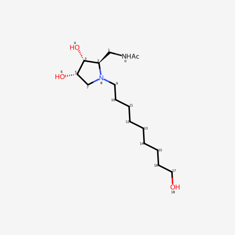 CC(=O)NC[C@@H]1[C@@H](O)[C@@H](O)CN1CCCCCCCCCO